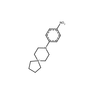 O=[N+]([O-])c1ccc(N2CC[N+]3(CCCC3)CC2)cc1